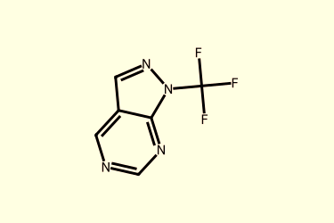 FC(F)(F)n1ncc2cncnc21